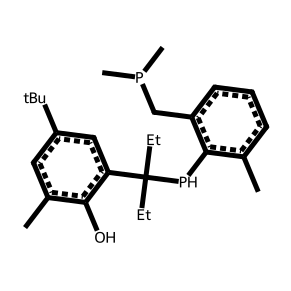 CCC(CC)(Pc1c(C)cccc1CP(C)C)c1cc(C(C)(C)C)cc(C)c1O